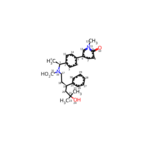 C[C@@H](c1ccc(-c2ccc(=O)n(C)c2)cc1)N(CC[C@H](CC(C)(C)O)c1ccccc1)C(=O)O